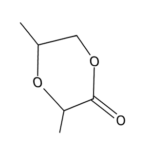 CC1COC(=O)C(C)O1